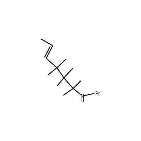 CC=CC(C)(C)C(C)(C)C(C)(C)NC(C)C